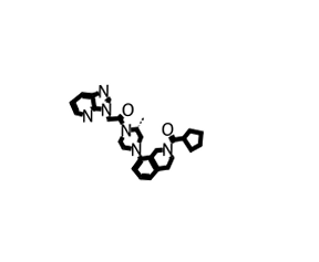 C[C@@H]1CN(c2cccc3c2CN(C(=O)C2CCCC2)CC3)CCN1C(=O)Cn1cnc2cccnc21